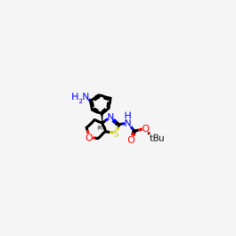 CC(C)(C)OC(=O)NC1=N[C@@]2(c3cccc(N)c3)CCOCC2S1